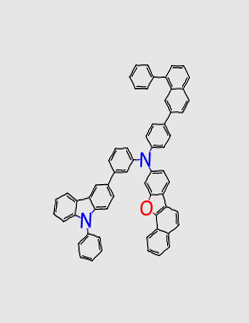 c1ccc(-c2cccc3ccc(-c4ccc(N(c5cccc(-c6ccc7c(c6)c6ccccc6n7-c6ccccc6)c5)c5ccc6c(c5)oc5c7ccccc7ccc65)cc4)cc23)cc1